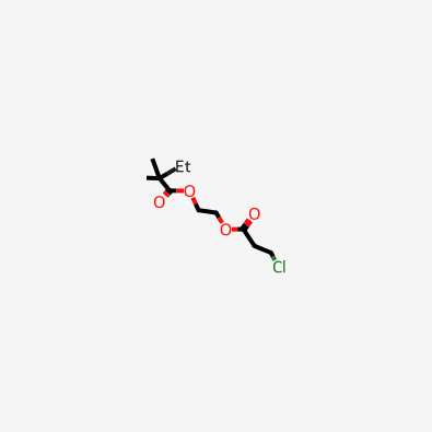 CCC(C)(C)C(=O)OCCOC(=O)CCCl